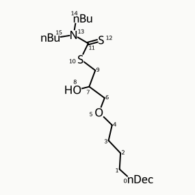 CCCCCCCCCCCCCCOCC(O)CSC(=S)N(CCCC)CCCC